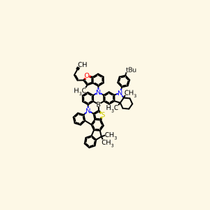 C#C/C=C\c1oc2cccc(N3c4cc5c(cc4B4c6sc7cc8c(c9c7c6N(c6ccccc6-9)c6cccc3c64)-c3ccccc3C8(C)C)C3(C)CCCCC3(C)N5c3ccc(C(C)(C)C)cc3)c2c1C